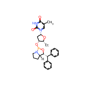 CC[C@H]1O[C@@H](n2cc(C)c(=O)[nH]c2=O)C[C@H]1O[P@@]1O[C@H](C(c2ccccc2)c2ccccc2)[C@@H]2CCCN21